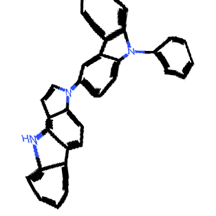 c1ccc(-n2c3ccccc3c3cc(-n4ccc5c6[nH]c7ccccc7c6ccc54)ccc32)cc1